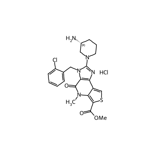 COC(=O)c1scc2c3nc(N4CCC[C@@H](N)C4)n(Cc4ccccc4Cl)c3c(=O)n(C)c12.Cl